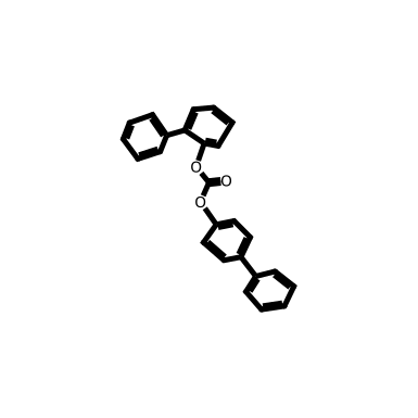 O=C(Oc1ccc(-c2ccccc2)cc1)Oc1ccccc1-c1ccccc1